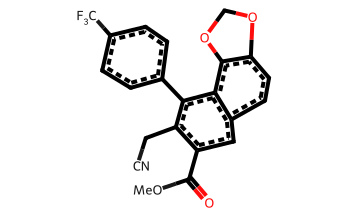 COC(=O)c1cc2ccc3c(c2c(-c2ccc(C(F)(F)F)cc2)c1CC#N)OCO3